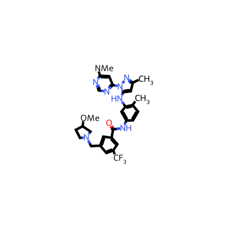 CNc1cc(-n2nc(C)cc2Nc2cc(NC(=O)c3cc(CN4CCC(OC)C4)cc(C(F)(F)F)c3)ccc2C)ncn1